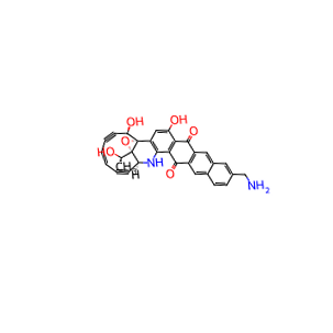 C[C@@H](O)[C@@]12O[C@]13c1cc(O)c4c(c1N[C@H]2C#C/C=C\C#C[C@H]3O)C(=O)c1cc2ccc(CN)cc2cc1C4=O